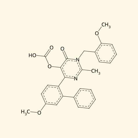 COc1ccc(-c2nc(C)n(Cc3ccccc3OC)c(=O)c2OC(=O)O)c(-c2ccccc2)c1